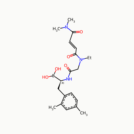 CCN(CC(=O)N[C@@H](Cc1ccc(C)cc1C)B(O)O)C(=O)C=CC(=O)N(C)C